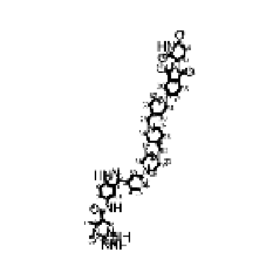 CC1=C(C(=O)Nc2ccc3[nH]nc(-c4ccnc(N5C[C@@H](C)N(CC6CCN(CC7CCN(c8ccc9c(c8)C(=O)N(C8CCC(=O)NC8=O)C9=O)CC7)CC6)[C@@H](C)C5)c4)c3c2)CN2NNN=C2N1C